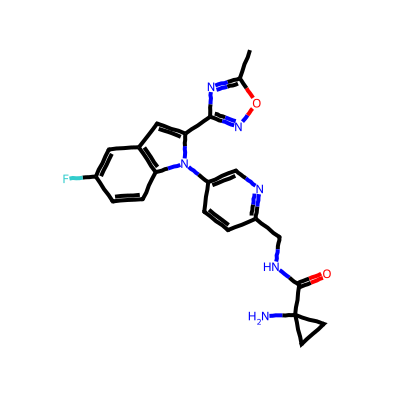 Cc1nc(-c2cc3cc(F)ccc3n2-c2ccc(CNC(=O)C3(N)CC3)nc2)no1